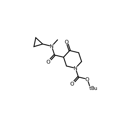 CN(C(=O)C1CN(C(=O)OC(C)(C)C)CCC1=O)C1CC1